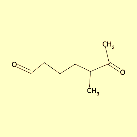 CC(=O)C(C)CCCC=O